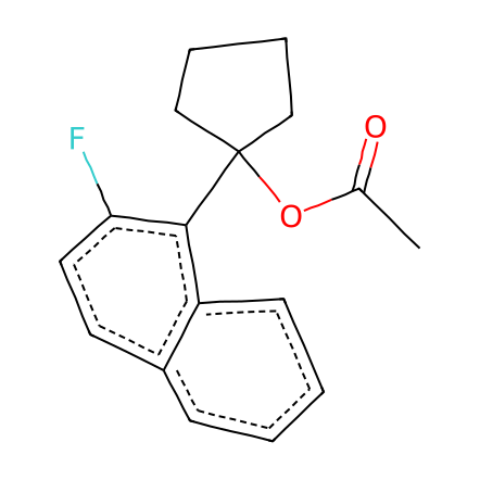 CC(=O)OC1(c2c(F)ccc3ccccc23)CCCC1